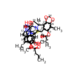 C=CCC(=O)Oc1cc2c(cc1OC)[C@@]1(CS[C@@H]3c4c(OC(C)=O)c(C)c5c(c4[C@H](COC1=O)N1C3[C@@H]3c4c(cc(C)c(OC)c4O)C[C@@H]([C@@H]1O)N3C)OCO5)NCC2